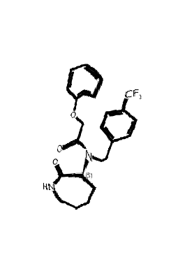 O=C1NCCCC[C@@H]1N(Cc1ccc(C(F)(F)F)cc1)C(=O)COc1ccccc1